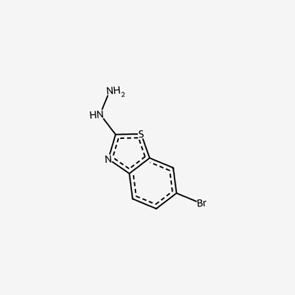 NNc1nc2ccc(Br)cc2s1